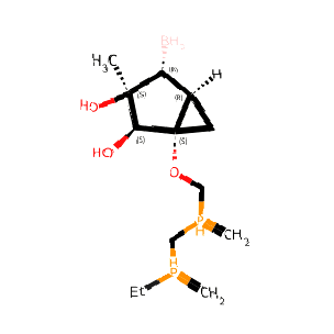 B[C@@H]1[C@H]2C[C@@]2(OC[PH](=C)C[PH](=C)CC)[C@@H](O)[C@@]1(C)O